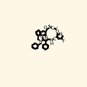 C[C@H]1CN(C)C(=O)c2cnn3c(N(Cc4ccccc4)Cc4ccccc4)c(-c4ccccc4)c(nc23)NCc2cc(F)cnc2O1